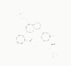 COC(=O)c1cc(F)ccc1-c1cc(NCC(C)(C)O)c2ncc(-c3ccc(C(=O)NC4CC4)c(C)c3)n2n1